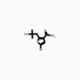 CC(C)(O)Cc1sc(Br)cc1C(N)=O